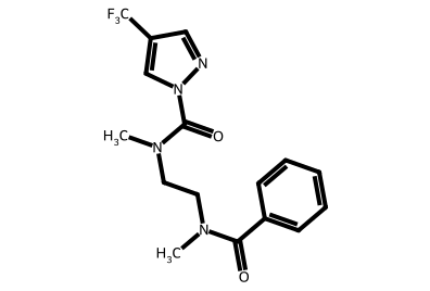 CN(CCN(C)C(=O)n1cc(C(F)(F)F)cn1)C(=O)c1ccccc1